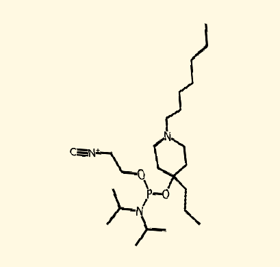 [C-]#[N+]CCOP(OC1(CCC)CCN(CCCCCCC)CC1)N(C(C)C)C(C)C